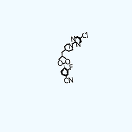 N#Cc1ccc([C@H]2OC[C@H](CC3CCN(c4ncc(Cl)cn4)CC3)CO2)c(F)c1